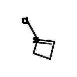 Cl[Si]1=CCC1